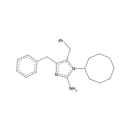 CC(C)Cc1c(Cc2ccccc2)nc(N)n1C1CCCCCCC1